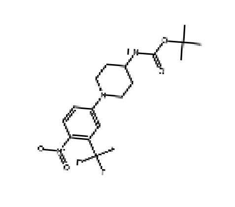 CC(C)(C)OC(=O)NC1CCN(c2ccc([N+](=O)[O-])c(C(F)(F)F)c2)CC1